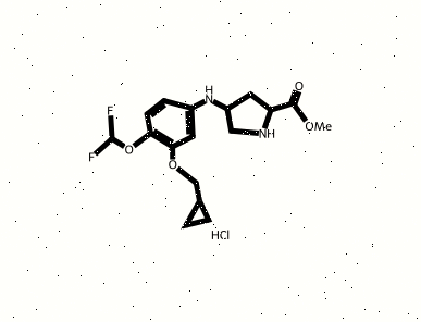 COC(=O)C1CC(Nc2ccc(OC(F)F)c(OCC3CC3)c2)CN1.Cl